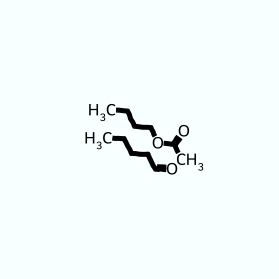 CCCCC=O.CCCCOC(C)=O